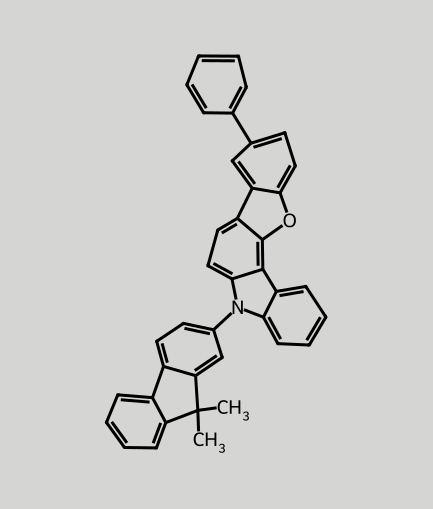 CC1(C)c2ccccc2-c2ccc(-n3c4ccccc4c4c5oc6ccc(-c7ccccc7)cc6c5ccc43)cc21